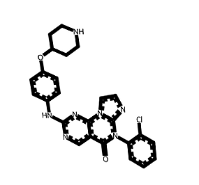 O=c1c2cnc(Nc3ccc(OC4CCNCC4)cc3)nc2n2ccnc2n1-c1ccccc1Cl